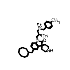 CCN(Cc1ccc(C)cc1)CC(O)CN1C(=O)C2(CCNCC2)c2cc(CC3CCCCCCC3)ccc21